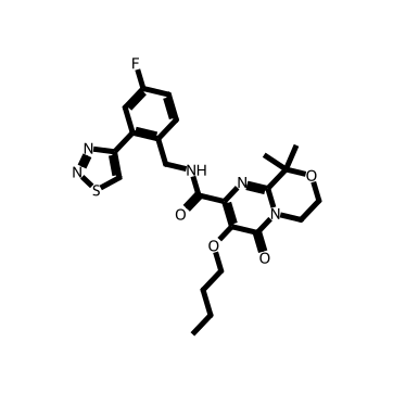 CCCCOc1c(C(=O)NCc2ccc(F)cc2-c2csnn2)nc2n(c1=O)CCOC2(C)C